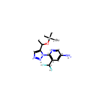 CC(O[Si](C)(C)C(C)(C)C)c1cnnn1-c1ncc(N)cc1C(F)F